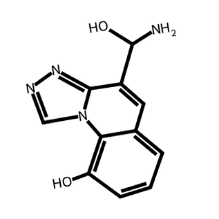 NC(O)c1cc2cccc(O)c2n2cnnc12